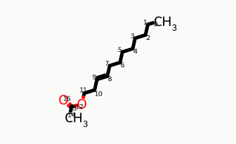 CCCCCCCC/C=C/CCOC(C)=O